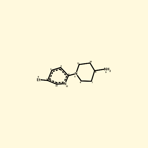 CCc1ccc(N2CCC(N)CC2)nc1